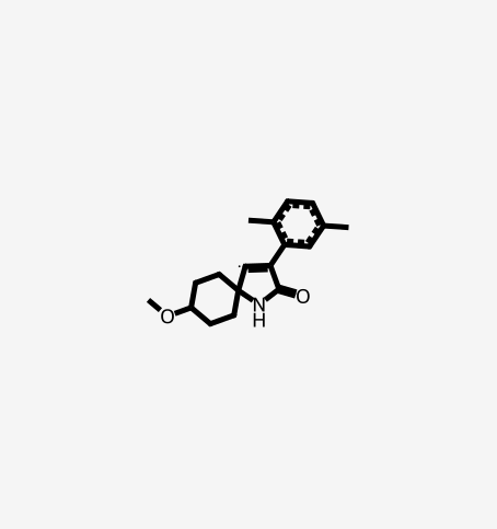 COC1CCC2([C]=C(c3cc(C)ccc3C)C(=O)N2)CC1